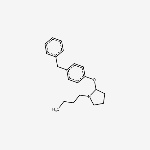 CCCCN1CCCC1Oc1ccc(Cc2ccccc2)cc1